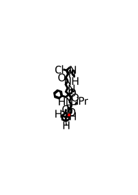 CC(C)C[C@H](NC(=O)C1(Cc2ccccc2)CC(CNC(=O)c2c(Cl)cnn2C)=NO1)B1O[C@@H]2C[C@@H]3C[C@@H](C3(C)C)[C@]2(C)O1